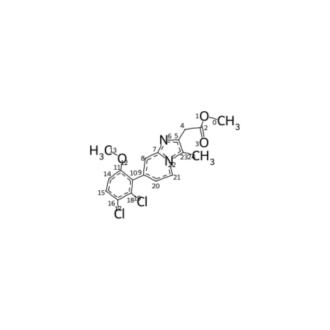 COC(=O)Cc1nc2cc(-c3c(OC)ccc(Cl)c3Cl)ccn2c1C